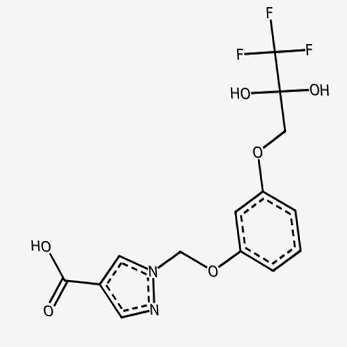 O=C(O)c1cnn(COc2cccc(OCC(O)(O)C(F)(F)F)c2)c1